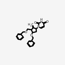 C=C1C(COCc2ccccc2)C(OCc2ccccc2)CC1n1ccc(=O)[nH]c1=O